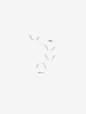 C=CC(=O)Nc1ccnc2ccc(-c3ccc(N)c(C#N)c3)cc12